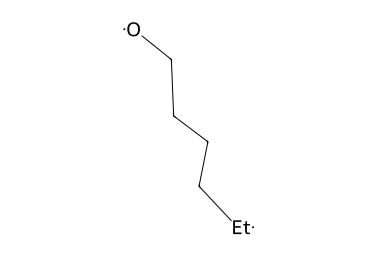 C[CH]CCCC[O]